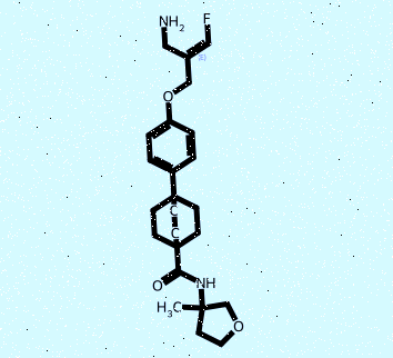 CC1(NC(=O)C23CCC(c4ccc(OC/C(=C/F)CN)cc4)(CC2)CC3)CCOC1